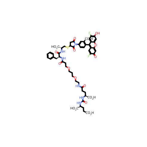 O=C(O)CC[C@H](NC(=O)N[C@@H](CCC(=O)NCCOCCCOCCC(=O)N[C@@H](Cc1ccccc1)C(=O)N[C@@H](CSC1CC(=O)N(c2ccc(-c3c4cc(F)c(=O)cc-4oc4cc(O)c(F)cc34)c(C(=O)O)c2)C1=O)C(=O)O)C(=O)O)C(=O)O